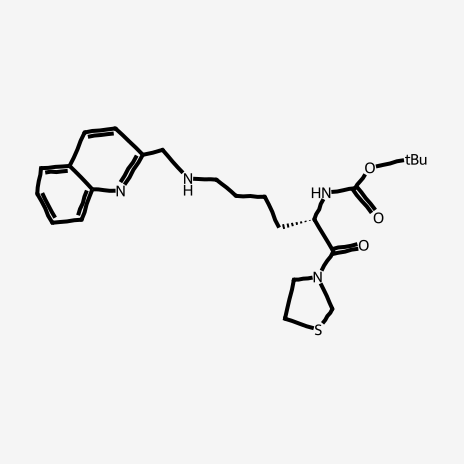 CC(C)(C)OC(=O)N[C@@H](CCCCNCc1ccc2ccccc2n1)C(=O)N1CCSC1